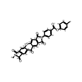 Cc1ccc(OC(=O)c2ccc(-n3c(=O)c4cc5sc6cc7c(=O)n(C)c(=O)c7cc6c(=O)c5cc4c3=O)cc2)cc1